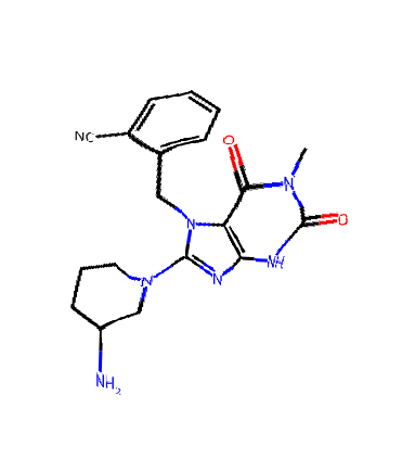 Cn1c(=O)[nH]c2nc(N3CCCC(N)C3)n(Cc3ccccc3C#N)c2c1=O